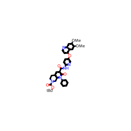 COc1cc2nccc(Oc3ccc(NC(=O)c4cc5c(n(-c6ccccc6)c4=O)CN(C(=O)OC(C)(C)C)CC5)nc3)c2cc1OC